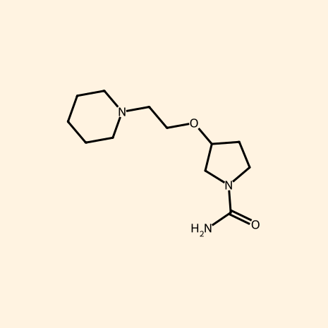 NC(=O)N1CCC(OCCN2CCCCC2)C1